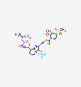 COc1cc(S(C)(=O)=O)ccc1NCC#Cc1nc2c(C3CO[C@H](CN(C)C)C(=O)N3)cccn2c1CC(F)(F)F